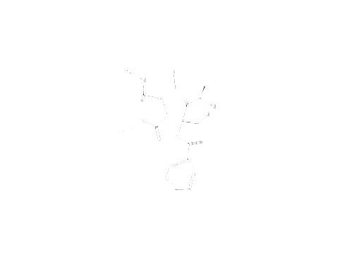 CC(C)C[C@@H](C(=O)NN)[C@@H](C(=O)NO)C(CC(C)C)(NC(=O)c1ccccc1)C(=O)[C@@H](C)N